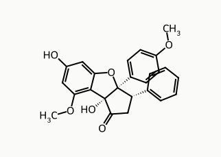 COc1ccc([C@@]23Oc4cc(O)cc(OC)c4[C@]2(O)C(=O)C[C@H]3c2ccccc2)cc1